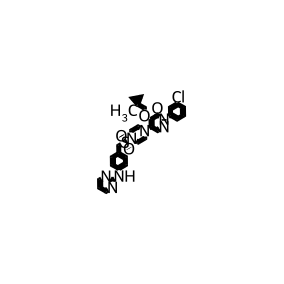 CC1(COc2c(N3CCN(S(=O)(=O)Cc4ccc(Nc5ncccn5)cc4)CC3)cnn(-c3cccc(Cl)c3)c2=O)CC1